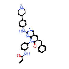 C=CC(=O)Nc1cccc(-n2c(=O)c(Cc3ccccc3)cc3cnc(Nc4ccc(C5CCN(C)CC5)cc4)nc32)c1